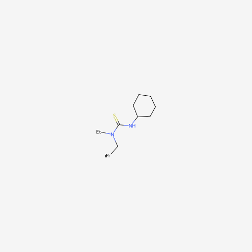 [CH2]CN(CC(C)C)C(=S)NC1CCCCC1